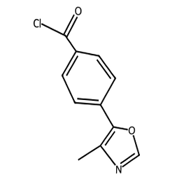 Cc1ncoc1-c1ccc(C(=O)Cl)cc1